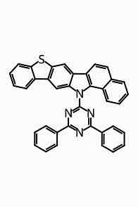 c1ccc(-c2nc(-c3ccccc3)nc(-n3c4cc5c(cc4c4ccc6ccccc6c43)sc3ccccc35)n2)cc1